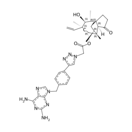 C=C[C@]1(C)C[C@@H](OC(=O)Cn2cc(-c3ccc(Cn4cnc5c(N)nc(N)nc54)cc3)nn2)[C@]2(C)[C@H](C)CC[C@]3(CCC(=O)[C@H]32)[C@@H](C)[C@@H]1O